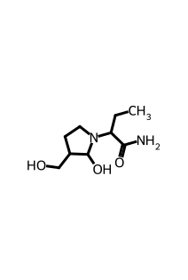 CCC(C(N)=O)N1CCC(CO)C1O